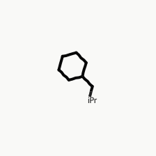 [CH]C(C)CC1CCCCC1